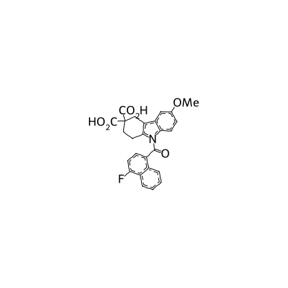 COc1ccc2c(c1)c1c(n2C(=O)c2ccc(F)c3ccccc23)CCC(C(=O)O)(C(=O)O)C1